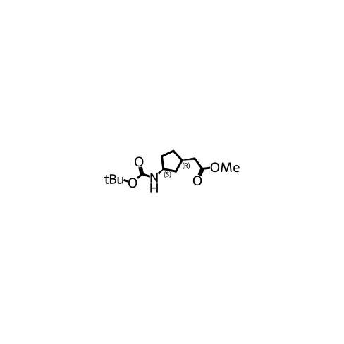 COC(=O)C[C@@H]1CC[C@H](NC(=O)OC(C)(C)C)C1